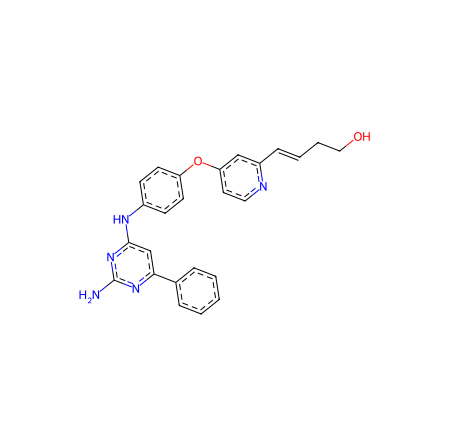 Nc1nc(Nc2ccc(Oc3ccnc(C=CCCO)c3)cc2)cc(-c2ccccc2)n1